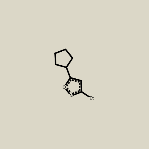 CCc1cc(C2CCCC2)on1